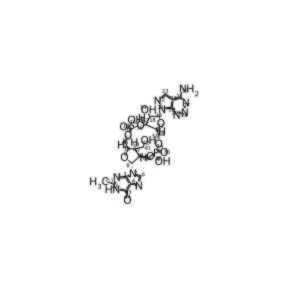 Cc1nc2c(ncn2[C@@H]2O[C@@H]3COP(=O)(O)O[C@H]4[C@@H](O)[C@H](n5ncc6c(N)nnnc65)O[C@@H]4COP(=O)(O)O[C@@H]2[C@@H]3CO)c(=O)[nH]1